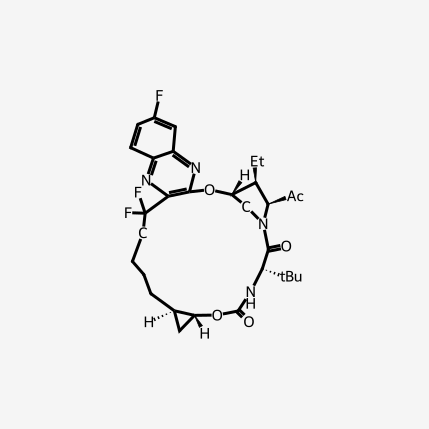 CC[C@@H]1[C@@H]2CN(C(=O)[C@H](C(C)(C)C)NC(=O)O[C@@H]3C[C@H]3CCCCC(F)(F)c3nc4ccc(F)cc4nc3O2)[C@@H]1C(C)=O